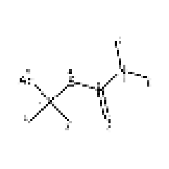 CC(=O)C(C)(C)SC(=S)N(C)C